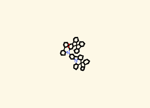 c1ccc(-c2ccccc2N(c2ccc3c(c2)C2(c4ccccc4-c4ccccc42)c2ccccc2-3)c2ccc3c(c2)c2cccc4c2n3-c2ccccc2C42c3ccccc3-c3ccccc32)cc1